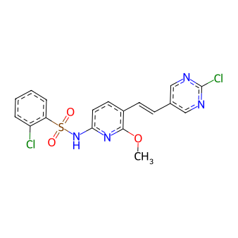 COc1nc(NS(=O)(=O)c2ccccc2Cl)ccc1/C=C/c1cnc(Cl)nc1